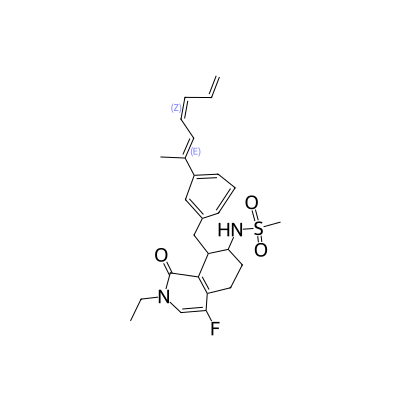 C=C/C=C\C=C(/C)c1cccc(CC2c3c(c(F)cn(CC)c3=O)CCC2NS(C)(=O)=O)c1